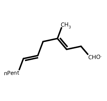 CCCCCC=CCC(C)=CC[C]=O